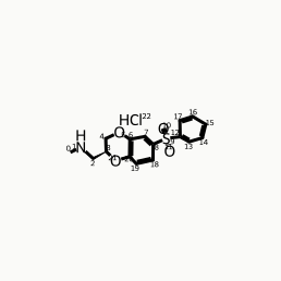 CNC[C@H]1COc2cc(S(=O)(=O)c3ccccc3)ccc2O1.Cl